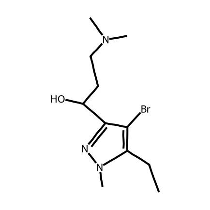 CCc1c(Br)c(C(O)CCN(C)C)nn1C